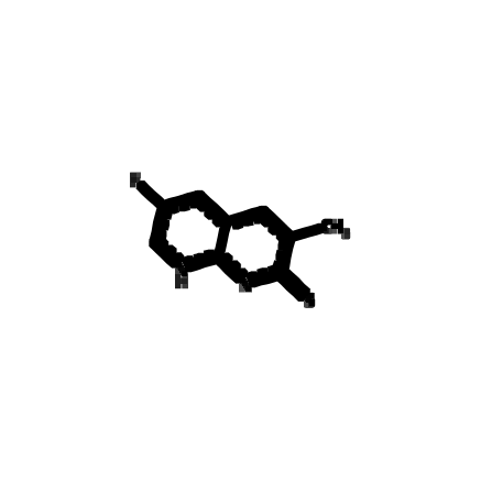 Cc1cc2cc(F)c[nH]c-2nc1=S